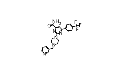 NC(=O)c1cc(-c2ccc(C(F)(F)F)cc2)nc(N2CCN(Cc3cccnc3)CC2)n1